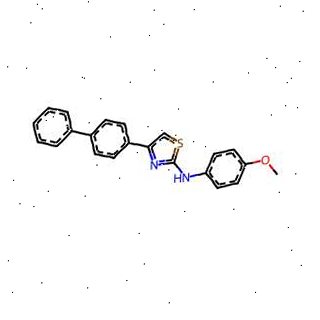 COc1ccc(Nc2nc(-c3ccc(-c4ccccc4)cc3)cs2)cc1